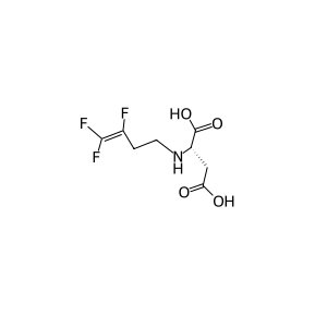 O=C(O)C[C@H](NCCC(F)=C(F)F)C(=O)O